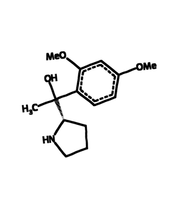 COc1ccc(C(C)(O)[C@@H]2CCCN2)c(OC)c1